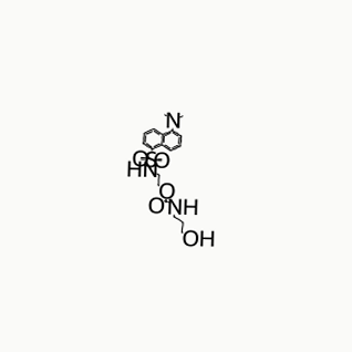 CN(C)c1cccc2c(S(=O)(=O)NCCOC(=O)NCCCO)cccc12